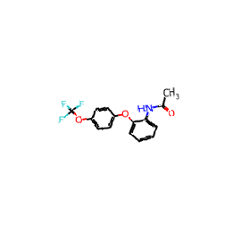 CC(=O)Nc1ccccc1Oc1ccc(OC(F)(F)F)cc1